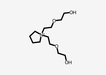 OCCOCC[N+]1(CCOCCO)CCCC1